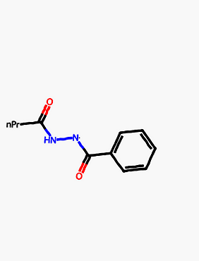 CCCC(=O)N[N]C(=O)c1ccccc1